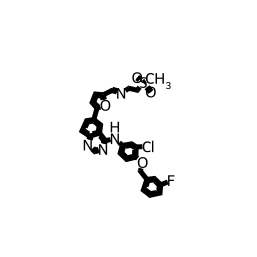 CS(=O)(=O)CCN=Cc1ccc(-c2ccc3ncnc(Nc4ccc(OCc5cccc(F)c5)c(Cl)c4)c3c2)o1